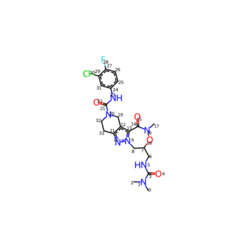 CN(C)C(=O)NCC1Cn2nc3c(c2C(=O)N(C)O1)CN(C(=O)Nc1ccc(F)c(Cl)c1)CC3